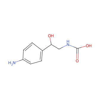 Nc1ccc(C(O)CNC(=O)O)cc1